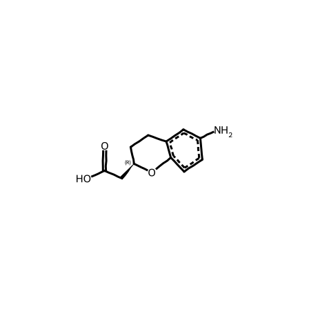 Nc1ccc2c(c1)CC[C@H](CC(=O)O)O2